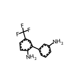 Nc1cccc(-c2cc(C(F)(F)F)ccc2N)c1